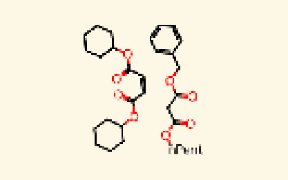 CCCCCOC(=O)CC(=O)OCc1ccccc1.O=C(/C=C\C(=O)OC1CCCCC1)OC1CCCCC1